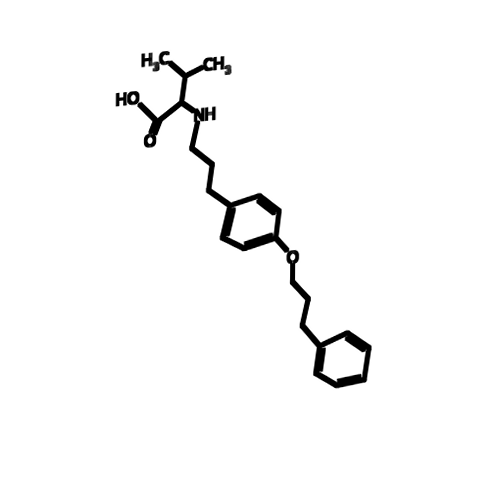 CC(C)C(NCCCc1ccc(OCCCc2ccccc2)cc1)C(=O)O